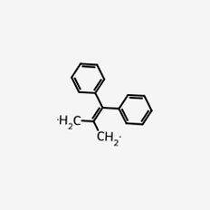 [CH2]C([CH2])=C(c1ccccc1)c1ccccc1